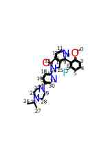 COc1cccc(F)c1-c1nccc2c1CN(c1ccc(N3CCN(C(C)C)CC3)cn1)C2=O